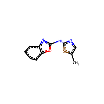 Cc1cnc(Nc2nc3ccccc3o2)s1